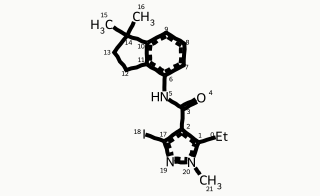 CCc1c(C(=O)Nc2cccc3c2CCC3(C)C)c(I)nn1C